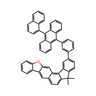 CC1(C)c2ccc(-c3cccc(-c4c5ccccc5c(-c5cccc6ccccc56)c5ccccc45)c3)cc2-c2c1ccc1cc3c(cc21)oc1ccccc13